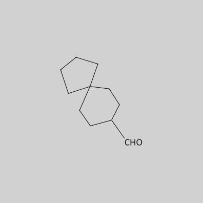 O=CC1CCC2(CCCC2)CC1